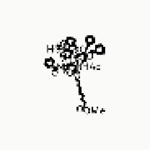 COC(=O)CCCCCCCCO[C@@H]1O[C@H](CNC(=O)c2ccccc2)[C@@H](O[C@H]2CC[C@](O)(Cl)[C@@H](C(O)Cl)O2)[C@H](OC2O[C@@H](C)[C@@H](OCc3ccccc3)[C@@H](OCc3ccccc3)[C@@H]2OCc2ccccc2)[C@H]1NC(C)=O